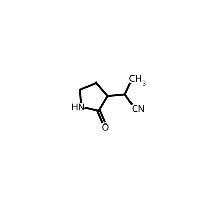 CC(C#N)C1CCNC1=O